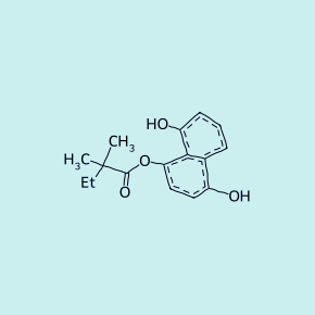 CCC(C)(C)C(=O)Oc1ccc(O)c2cccc(O)c12